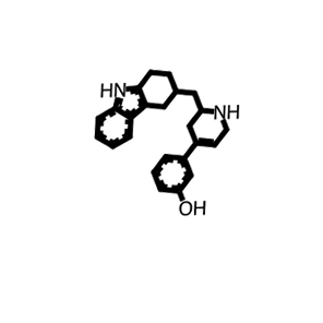 Oc1cccc(C2=CCNC(CC3CCc4[nH]c5ccccc5c4C3)C2)c1